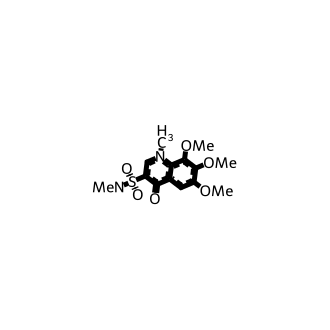 CNS(=O)(=O)c1cn(C)c2c(OC)c(OC)c(OC)cc2c1=O